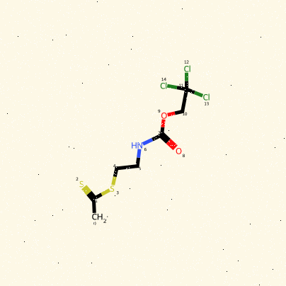 [CH2]C(=S)SCCNC(=O)OCC(Cl)(Cl)Cl